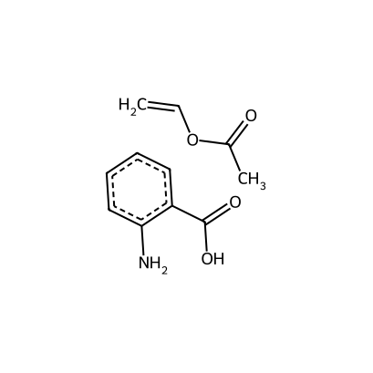 C=COC(C)=O.Nc1ccccc1C(=O)O